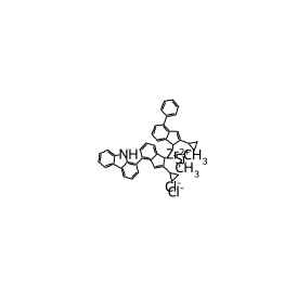 C[Si](C)=[Zr+2]([CH]1C(C2CC2)=Cc2c(-c3ccccc3)cccc21)[CH]1C(C2CC2)=Cc2c(-c3cccc4c3[nH]c3ccccc34)cccc21.[Cl-].[Cl-]